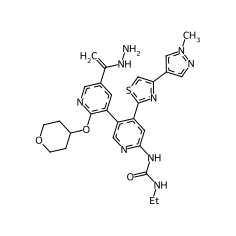 C=C(NN)c1cnc(OC2CCOCC2)c(-c2cnc(NC(=O)NCC)cc2-c2nc(-c3cnn(C)c3)cs2)c1